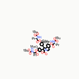 COc1cc(-c2c3c4cc(OC)c(OC(=O)[C@H](NC(=O)OC(C)(C)C)C(C)C)cc4oc(=O)c3n3ccc4cc(OC(=O)[C@H](NC(=O)OC(C)(C)C)C(C)C)c(OC)cc4c23)ccc1OC(=O)[C@H](NC(=O)OC(C)(C)C)C(C)C